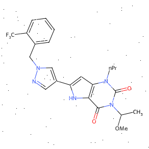 CCCn1c(=O)n(C(C)OC)c(=O)c2[nH]c(-c3cnn(Cc4ccccc4C(F)(F)F)c3)cc21